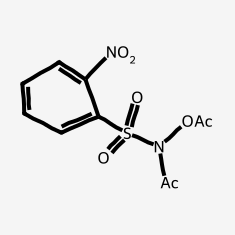 CC(=O)ON(C(C)=O)S(=O)(=O)c1ccccc1[N+](=O)[O-]